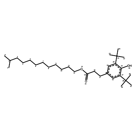 CC(C)CCCCCCCCCCOC(=O)CCc1cc(C(C)(C)C)c(O)c(C(C)(C)C)c1